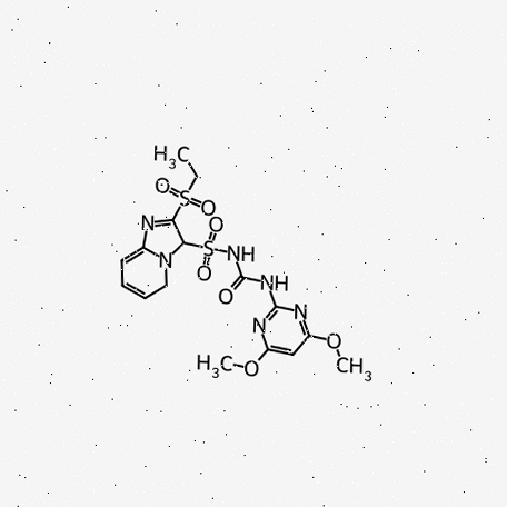 CCS(=O)(=O)C1=NC2=CC=CCN2C1S(=O)(=O)NC(=O)Nc1nc(OC)cc(OC)n1